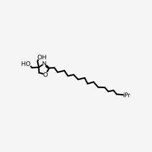 CC(C)CCCCCCCCCCCCCCC1=NC(CO)(CO)CO1